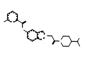 CC(O)C1CCN(C(=O)Cn2cc3cc(NC(=O)c4cccc(C(F)(F)F)n4)ccc3n2)CC1